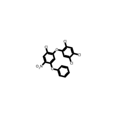 O=[N+]([O-])c1cc(Cl)c(Oc2cc(Cl)c(Cl)cc2Cl)cc1Oc1ccccc1